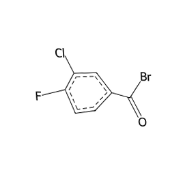 O=C(Br)c1ccc(F)c(Cl)c1